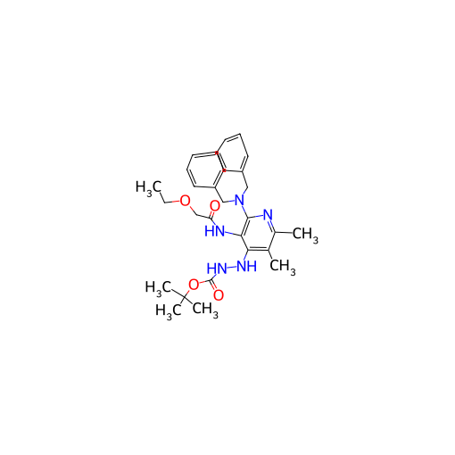 CCOCC(=O)Nc1c(N(Cc2ccccc2)Cc2ccccc2)nc(C)c(C)c1NNC(=O)OC(C)(C)C